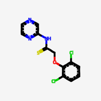 S=C(COc1c(Cl)cccc1Cl)Nc1cnccn1